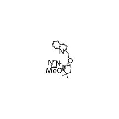 CO[C@@H]1[C@H](Cn2ccnc2)[C@H](OCCc2ccc3ccccc3n2)CCC1(C)C